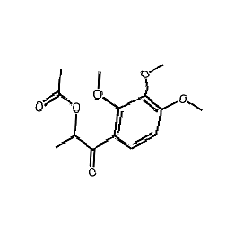 COc1ccc(C(=O)C(C)OC(C)=O)c(OC)c1OC